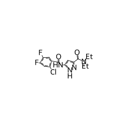 CCN(CC)C(=O)c1cc(NC(=O)c2cc(F)c(F)cc2Cl)[nH]n1